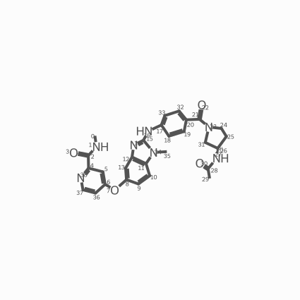 CNC(=O)c1cc(Oc2ccc3c(c2)nc(Nc2ccc(C(=O)N4CC[C@@H](NC(C)=O)C4)cc2)n3C)ccn1